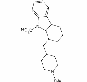 CCCCN1CCC(CC2CCCC3c4ccccc4N(C(=O)O)C23)CC1